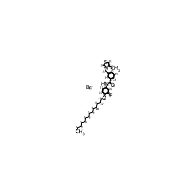 CCCCCCCCCCCCCCOc1ccc(NC(=O)c2cccc(C[n+]3cscc3C)c2)cc1F.[Br-]